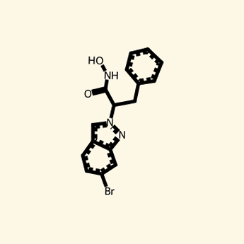 O=C(NO)C(Cc1ccccc1)n1cc2ccc(Br)cc2n1